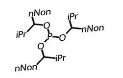 CCCCCCCCCC(OP(OC(CCCCCCCCC)C(C)C)OC(CCCCCCCCC)C(C)C)C(C)C